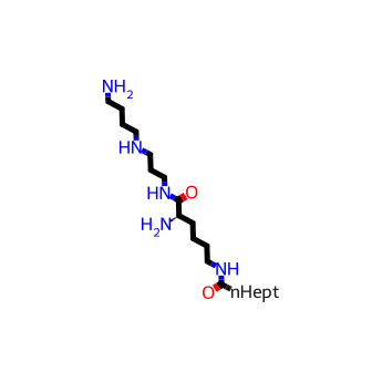 CCCCCCCC(=O)NCCCC[C@H](N)C(=O)NCCCNCCCCN